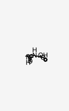 CC(C)NN1CCC(NCCCC(O)COc2ccccc2)CC1=C=O